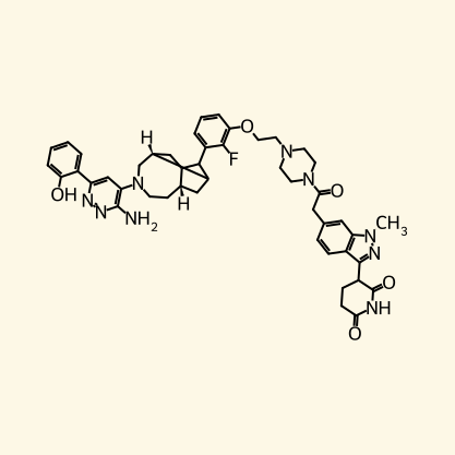 Cn1nc(C2CCC(=O)NC2=O)c2ccc(CC(=O)N3CCN(CCOc4cccc(C5C6C[C@H]7CN(c8cc(-c9ccccc9O)nnc8N)CC[C@H]6CC57)c4F)CC3)cc21